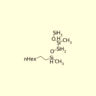 CCCCCCCC[SiH](C)O[SiH2][SiH](C)O[SiH3]